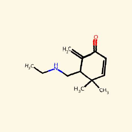 C=C1C(=O)C=CC(C)(C)C1CNCC